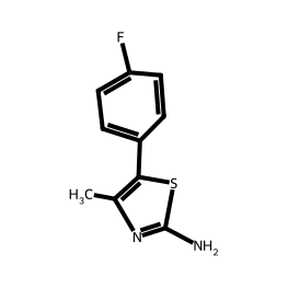 Cc1nc(N)sc1-c1ccc(F)cc1